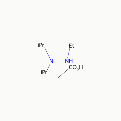 CC(=O)O.CCNN(C(C)C)C(C)C